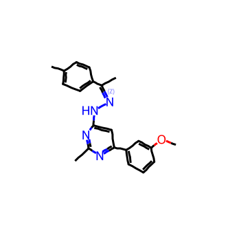 COc1cccc(-c2cc(N/N=C(/C)c3ccc(C)cc3)nc(C)n2)c1